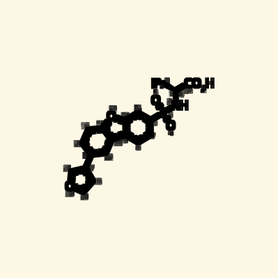 CC(C)[C@H](NS(=O)(=O)c1ccc2c(c1)oc1ccc(-c3ccoc3)cc12)C(=O)O